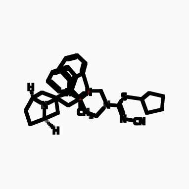 Cc1nc2ccccc2n1[C@H]1C[C@H]2CC[C@@H](C1)N2CCC1(c2ccccc2)CCN(/C(=N/C#N)SC2CCCC2)CC1